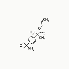 C=CCOC(=O)C(C)(C)c1ccc(C2(N)COC2)cc1